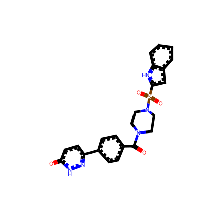 O=C(c1ccc(-c2ccc(=O)[nH]n2)cc1)N1CCN(S(=O)(=O)c2cc3ccccc3[nH]2)CC1